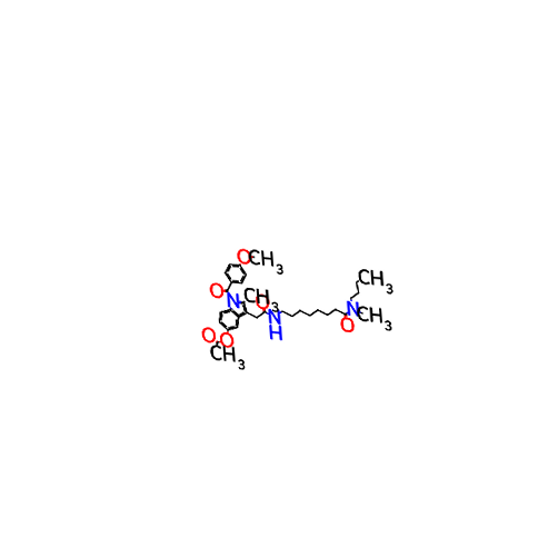 CCCCN(C)C(=O)CCCCCCCNC(=O)Cc1c(C)n(C(=O)c2ccc(OC)cc2)c2ccc(OC(C)=O)cc12